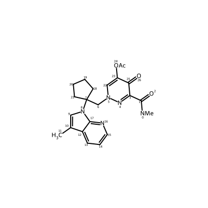 CNC(=O)c1nn(CC2(n3cc(C)c4cccnc43)CCCC2)cc(OC(C)=O)c1=O